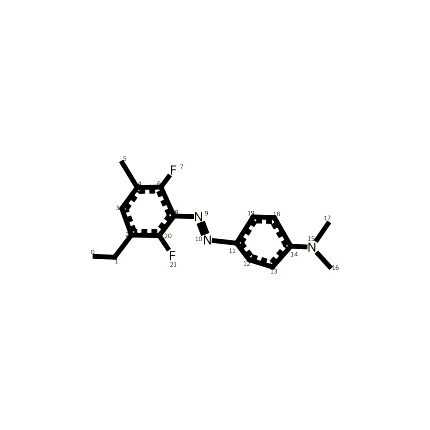 CCc1cc(C)c(F)c(/N=N/c2ccc(N(C)C)cc2)c1F